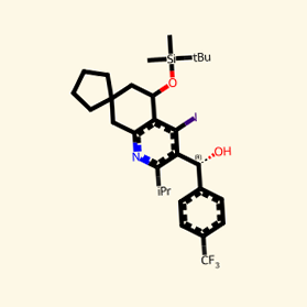 CC(C)c1nc2c(c(I)c1[C@H](O)c1ccc(C(F)(F)F)cc1)C(O[Si](C)(C)C(C)(C)C)CC1(CCCC1)C2